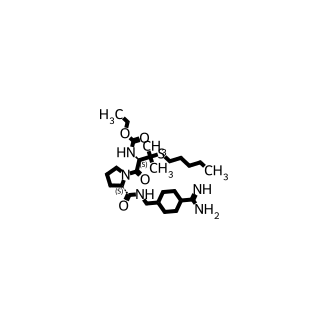 CCCCCSC(C)(C)[C@@H](NC(=O)OCC)C(=O)N1CCC[C@H]1C(=O)NCC1CCC(C(=N)N)CC1